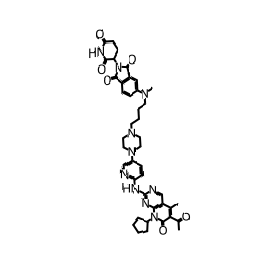 CC(=O)c1c(C)c2cnc(Nc3ccc(N4CCN(CCCCN(C)c5ccc6c(c5)C(=O)N(C5CCC(=O)NC5=O)C6=O)CC4)cn3)nc2n(C2CCCC2)c1=O